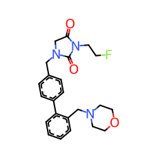 O=C1CN(Cc2ccc(-c3ccccc3CN3CCOCC3)cc2)C(=O)N1CCF